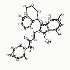 Cc1cc(C)c2c(C#N)c(/C=C/C(=O)Nc3ccncc3)n(C3CCCc4ccccc43)c2n1